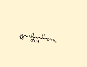 CCOCCNCCCCC(NCOCCc1nccs1)C(=O)O